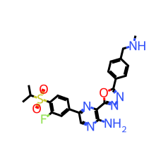 CNCc1ccc(-c2nnc(-c3nc(-c4ccc(S(=O)(=O)C(C)C)c(F)c4)cnc3N)o2)cc1